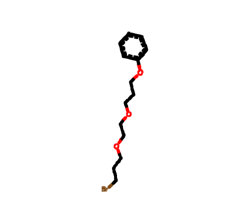 BrCCCOCCOCCCOc1ccccc1